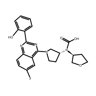 O=C(O)N([C@@H]1CCN(c2nc(-c3ccccc3O)nc3ccc(F)cc23)C1)[C@H]1CCOC1